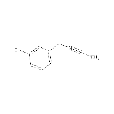 CC#[N+]Cc1cccc(Cl)c1